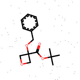 CC(C)(C)OC(=O)C1(OCc2ccccc2)COC1